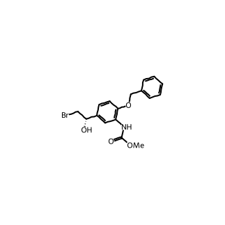 COC(=O)Nc1cc([C@H](O)CBr)ccc1OCc1ccccc1